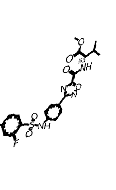 COC(=O)[C@@H](NC(=O)c1nc(-c2ccc(NS(=O)(=O)c3ccc(F)cc3F)cc2)no1)C(C)C